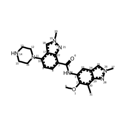 COc1c(NC(=O)c2ccc(N3CCNCC3)c3cn(C)nc23)cc2cn(C)nc2c1C